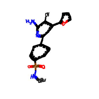 CC(C)(C)NS(=O)(=O)c1ccc(-c2cc(-c3ccco3)c(C#N)c(N)n2)cc1